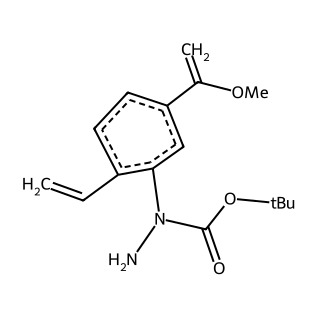 C=Cc1ccc(C(=C)OC)cc1N(N)C(=O)OC(C)(C)C